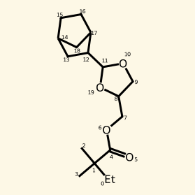 CCC(C)(C)C(=O)OCC1COC(C2CC3CCC2C3)O1